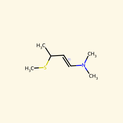 CSC(C)/C=C/N(C)C